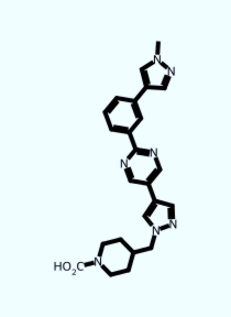 Cn1cc(-c2cccc(-c3ncc(-c4cnn(CC5CCN(C(=O)O)CC5)c4)cn3)c2)cn1